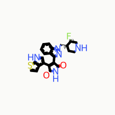 O=C1NC(=O)C(c2nn(C[C@H]3CCNC[C@H]3F)c3ccccc23)=C1c1c[nH]c2sccc12